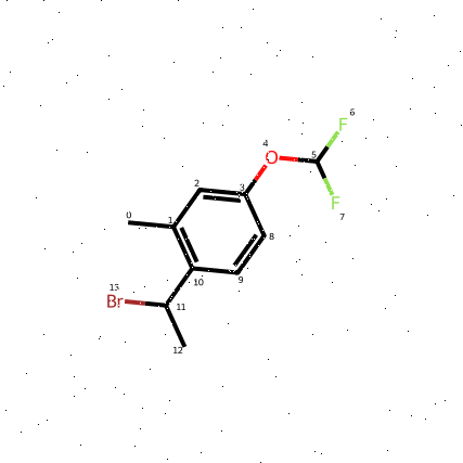 Cc1cc(OC(F)F)ccc1C(C)Br